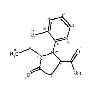 CCN1C(=O)CC(C(=O)O)N1c1ncccc1Cl